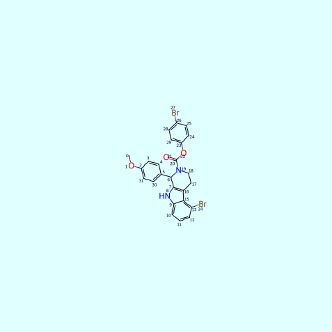 COc1ccc(C2c3[nH]c4cccc(Br)c4c3CCN2C(=O)Oc2ccc(Br)cc2)cc1